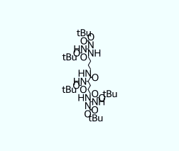 CC(C)(C)OC(=O)/N=C(/NCCCCNC(=O)C(CCCN/C(=N/C(=O)OC(C)(C)C)NC(=O)OC(C)(C)C)NC(=O)OC(C)(C)C)NC(=O)OC(C)(C)C